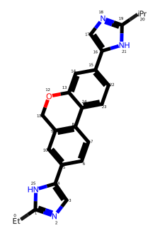 CCc1ncc(-c2ccc3c(c2)COc2cc(-c4cnc(C(C)C)[nH]4)ccc2-3)[nH]1